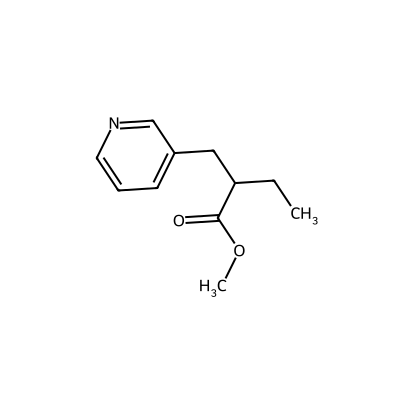 CCC(Cc1cccnc1)C(=O)OC